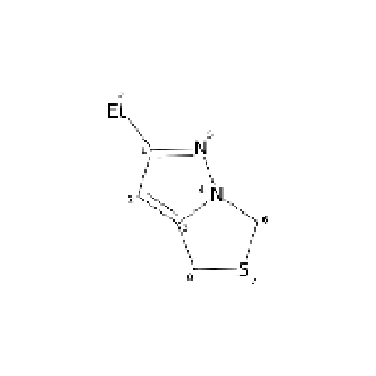 CCc1cc2n(n1)CSC2